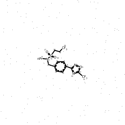 CCCN(Cc1ccc(-c2noc(C(F)(F)F)n2)cc1)S(=O)(=O)CCC(F)(F)F